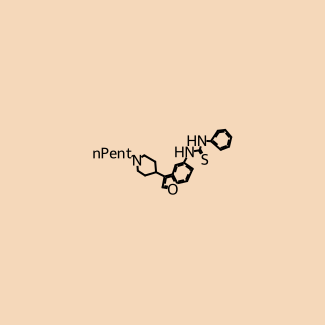 CCCCCN1CCC(c2coc3ccc(NC(=S)Nc4ccccc4)cc23)CC1